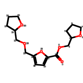 O=C(OCC1CCCO1)c1ccc(COCC2CCCO2)o1